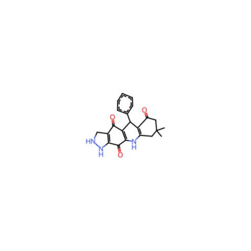 CC1(C)CC(=O)C2=C(C1)NC1=C(C(=O)C3=C(NNC3)C1=O)C2c1ccccc1